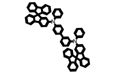 c1ccc(N(c2ccc(-c3cccc(N(c4ccccc4)c4ccc5c(c4)C4(c6ccccc6-c6ccccc64)c4ccccc4-5)c3)cc2)c2ccc3c(c2)C2(c4ccccc4-c4ccccc42)c2ccccc2-3)cc1